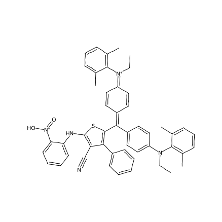 CCN(c1ccc(C(=C2C=CC(=[N+](CC)c3c(C)cccc3C)C=C2)c2sc(Nc3ccccc3[N+](=O)O)c(C#N)c2-c2ccccc2)cc1)c1c(C)cccc1C